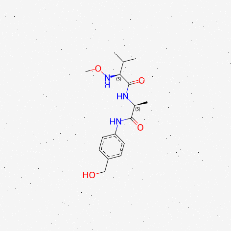 CON[C@H](C(=O)N[C@@H](C)C(=O)Nc1ccc(CO)cc1)C(C)C